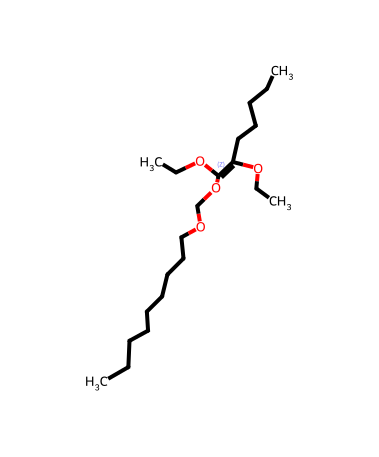 CCCCCCCCCOCO/C(OCC)=C(/CCCCC)OCC